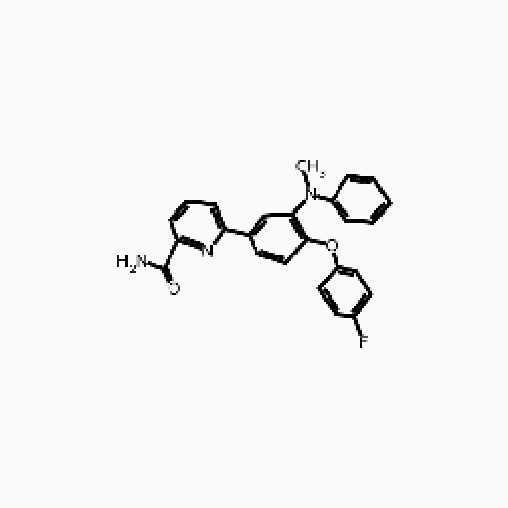 CN(c1ccccc1)c1cc(-c2cccc(C(N)=O)n2)ccc1Oc1ccc(F)cc1